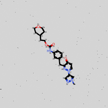 Cn1cc(-n2ccc(=O)c(Cc3cccc(NC(=O)OCCC4CCOCC4)c3)n2)cn1